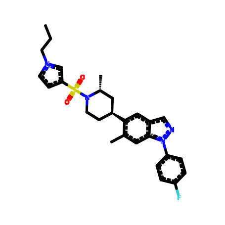 CCCn1ccc(S(=O)(=O)N2CC[C@H](c3cc4cnn(-c5ccc(F)cc5)c4cc3C)C[C@H]2C)c1